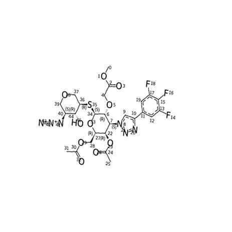 COC(=O)CO[C@@H]1[C@@H](n2cc(-c3cc(F)c(F)c(F)c3)nn2)[C@@H](OC(C)=O)[C@@H](COC(C)=O)O[C@H]1S[C@@H]1COC[C@H](N=[N+]=[N-])[C@H]1O